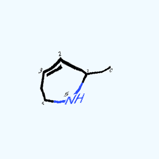 CC1C=[C]CN1